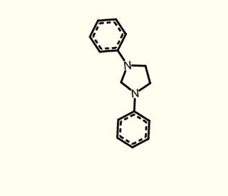 c1ccc(N2CCN(c3ccccc3)C2)cc1